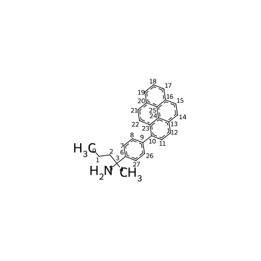 CCCC(C)(N)c1ccc(-c2ccc3ccc4cccc5ccc2c3c45)cc1